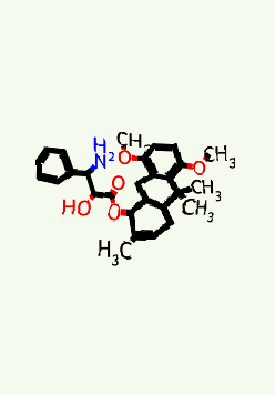 COc1ccc(OC)c2c1CC1C(OC(=O)C(O)C(N)c3ccccc3)C(C)=CCC1C2(C)C